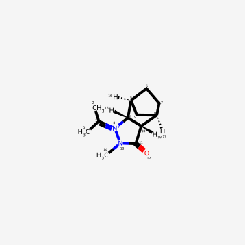 CC(C)=[N+]1[C@@H]2[C@H]3CC[C@H](C3)[C@@H]2C(=O)N1C